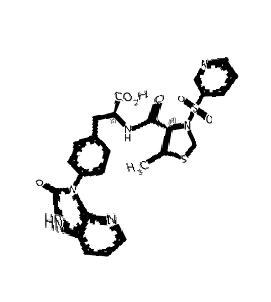 CC1SCN(S(=O)(=O)c2cccnc2)[C@@H]1C(=O)N[C@@H](Cc1ccc(-n2c(=O)[nH]c3cccnc32)cc1)C(=O)O